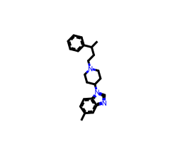 Cc1ccc2c(c1)ncn2C1CCN(CCC(C)c2ccccc2)CC1